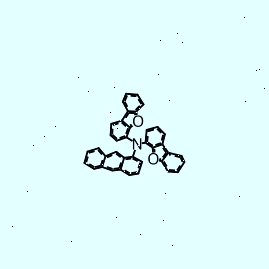 c1ccc2cc3c(N(c4cccc5c4oc4ccccc45)c4cccc5c4oc4ccccc45)cccc3cc2c1